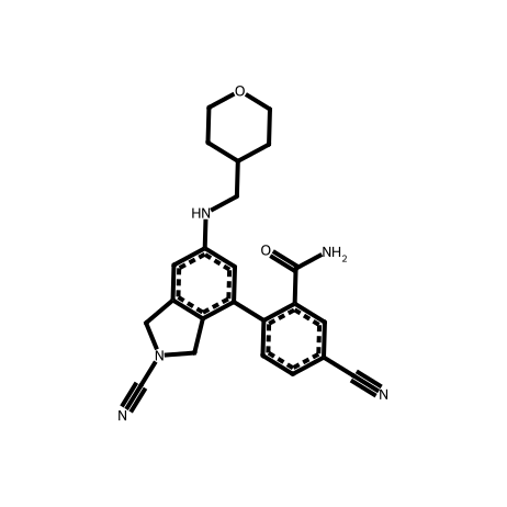 N#Cc1ccc(-c2cc(NCC3CCOCC3)cc3c2CN(C#N)C3)c(C(N)=O)c1